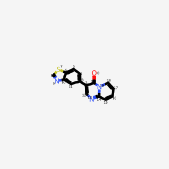 O=c1c(-c2ccc3scnc3c2)cnc2ccccn12